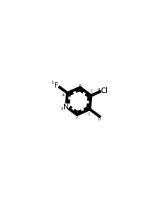 Cc1cnc(F)cc1Cl